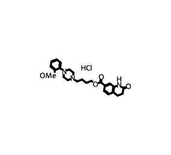 COc1ccccc1N1CCN(CCCCOC(=O)c2ccc3c(c2)NC(=O)CC3)CC1.Cl